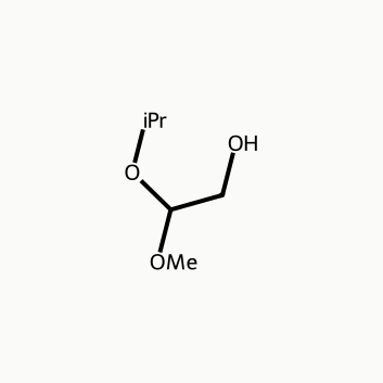 COC(CO)OC(C)C